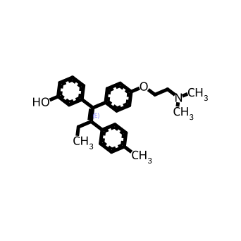 CC/C(=C(/c1ccc(OCCN(C)C)cc1)c1cccc(O)c1)c1ccc(C)cc1